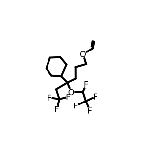 C=COCCCC(CC(F)(F)F)(OC(F)C(F)(F)F)C1CCCCC1